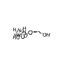 CC(C)(N)C(NC(=O)c1ccc(C#CC=CCO)cc1)C(=O)NO